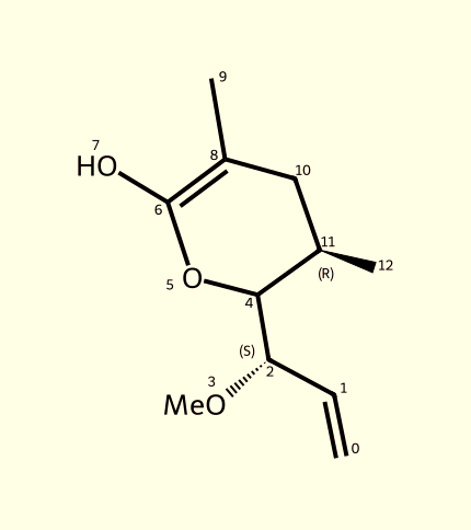 C=C[C@H](OC)C1OC(O)=C(C)C[C@H]1C